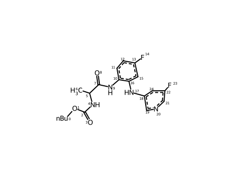 CCCCOC(=O)NC(C)C(=O)Nc1ccc(F)cc1Nc1cncc(F)c1